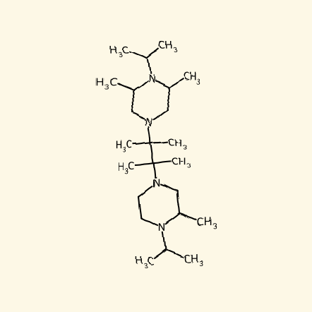 CC(C)N1CCN(C(C)(C)C(C)(C)N2CC(C)N(C(C)C)C(C)C2)CC1C